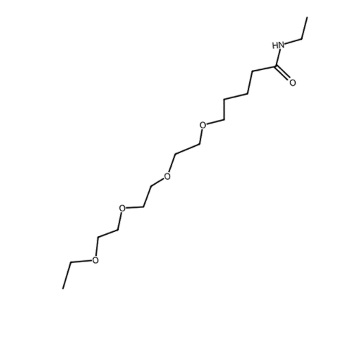 CCNC(=O)CCCCOCCOCCOCCOCC